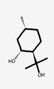 C[C@@H]1CC[C@@H](C(C)(C)O)[C@H](O)C1